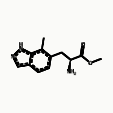 COC(=O)[C@@H](N)Cc1ccc2cn[nH]c2c1C